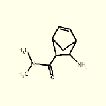 CN(C)C(=O)C1C2C=CC(C2)C1N